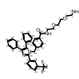 NCCOCCOCCNC(=O)c1ccc(Cn2c(-c3cccc(C(F)(F)F)c3)nc(-c3ccccc3)c2-c2ccccc2)cc1